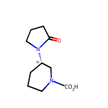 O=C(O)N1CCC[C@H](N2CCCC2=O)C1